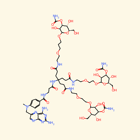 CN(Cc1cnc2nc(N)nc(N)c2n1)c1ccc(C(=O)NCCC(=O)NC(CCC(=O)NCCOCCCOC2O[C@H](CO)[C@@H](O)[C@H](OC(N)=O)[C@@H]2O)(CCC(=O)NCCOCCOC2O[C@H](CO)[C@@H](O)[C@H](OC(N)=O)[C@@H]2O)CCC(=O)NCCOCCOC2O[C@H](CO)[C@@H](O)[C@H](OC(N)=O)[C@@H]2O)cc1